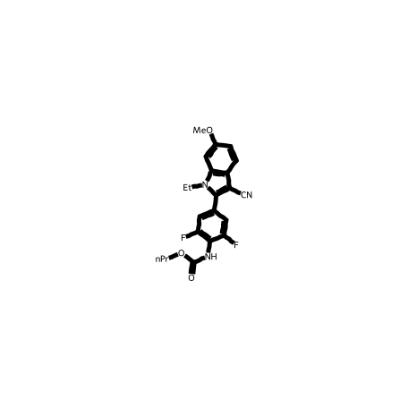 CCCOC(=O)Nc1c(F)cc(-c2c(C#N)c3ccc(OC)cc3n2CC)cc1F